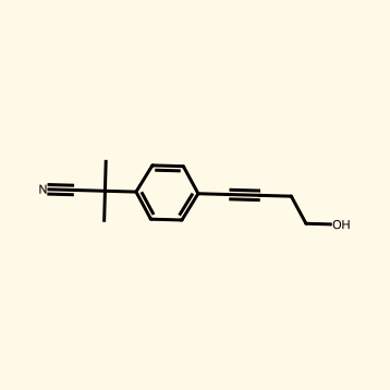 CC(C)(C#N)c1ccc(C#CCCO)cc1